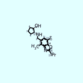 Cc1c(CN[C@@H]2CCC[C@@H]2O)cc(F)c2oc(C(C)C)nc12